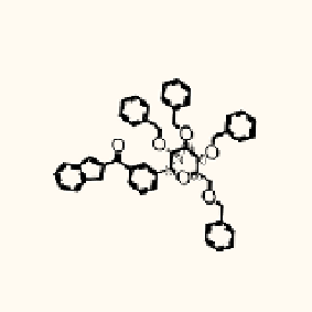 O=C(C1=Cc2ccccc2C1)c1cccc([C@@H]2O[C@H](COCc3ccccc3)[C@@H](OCc3ccccc3)[C@H](OCc3ccccc3)[C@H]2OCc2ccccc2)c1